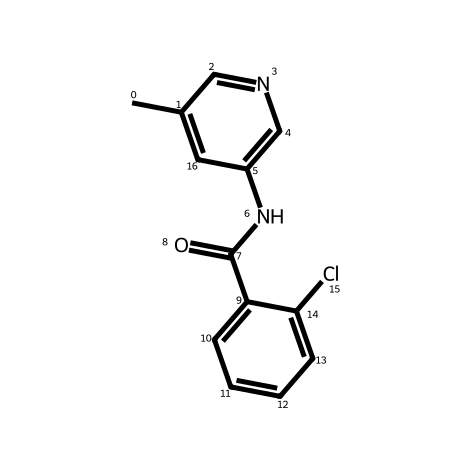 Cc1cncc(NC(=O)c2ccccc2Cl)c1